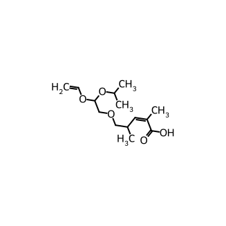 C=COC(COCC(C)C=C(C)C(=O)O)OC(C)C